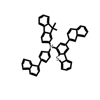 CC1(C)c2ccccc2-c2ccc(N(c3ccc(-c4cccc5ccccc45)cc3)c3cc(-c4ccc5ccccc5c4)cc4c3sc3ccccc34)cc21